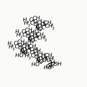 CC(C)(C)OOC(C)(CC(=O)O)OOC(C)(C)C.CC(C)(C)OOC(C)(CC(=O)O)OOC(C)(C)C.CC(C)(C)OOC(C)(CC(=O)O)OOC(C)(C)C.CC(C)(C)OOC(C)(CC(=O)O)OOC(C)(C)C.OCC(CO)(CO)CO